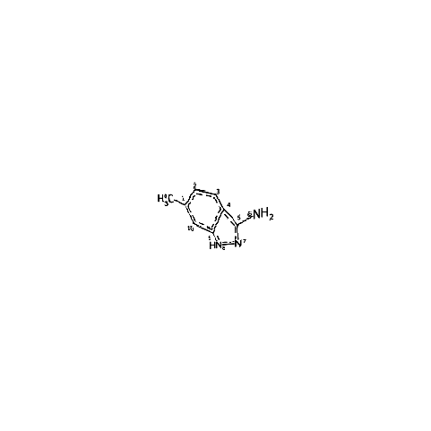 Cc1[c]cc2c(N)n[nH]c2c1